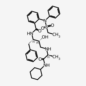 CCS(=O)(=O)N(c1ccccc1)c1ccccc1C(=O)N[C@@H](Cc1ccccc1)[C@H](O)CN[C@@H](C)C(=O)NC1CCCCC1